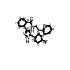 O=C(NCCc1ccccn1)c1ccccc1-c1cc(-c2ccc(F)cc2)[nH]n1